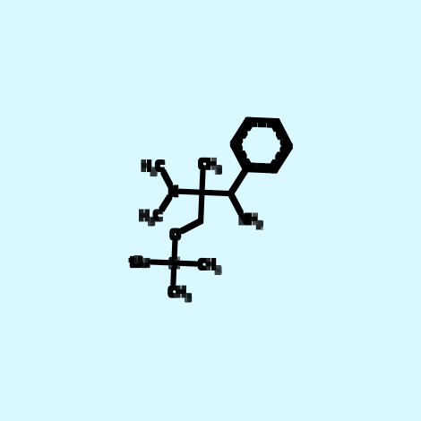 CN(C)C(C)(CO[Si](C)(C)C(C)(C)C)C(N)c1ccccc1